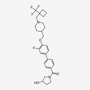 O=C(c1ccc(-c2ccc(OCC3CCN(CC4(C(F)(F)F)CCC4)CC3)c(F)c2)cc1)N1CCC(O)C1